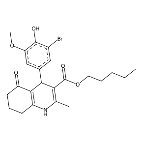 CCCCCOC(=O)C1=C(C)NC2=C(C(=O)CCC2)C1c1cc(Br)c(O)c(OC)c1